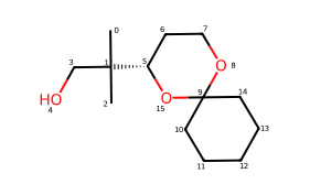 CC(C)(CO)[C@@H]1CCOC2(CCCCC2)O1